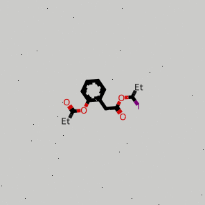 CCC(=O)Oc1ccccc1CC(=O)OC(I)CC